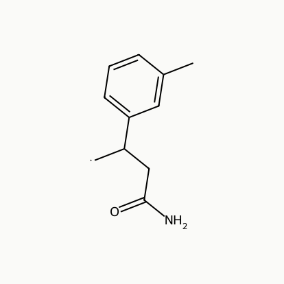 [CH2]C(CC(N)=O)c1cccc(C)c1